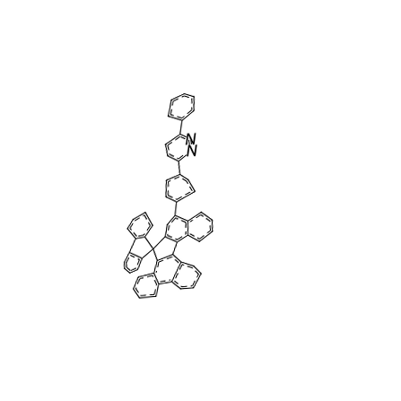 c1ccc(-c2ccc(-c3ccc(-c4cc5c(c6ccccc46)-c4c(c6ccccc6c6ccccc46)C54c5ccccc5-c5ccccc54)cc3)nn2)cc1